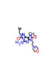 Cn1c(=O)n(CCN2CCOCC2)c2nc(N)n3c(=O)n(CC4CC4)nc3c21